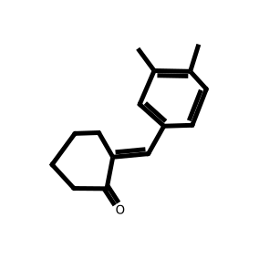 Cc1ccc(C=C2CCCCC2=O)cc1C